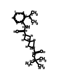 CC(C)c1ccccc1NC(=O)C1CC2(C1)CN(C(=O)OC(C)(C)C)C2